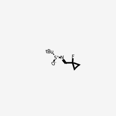 CC(C)(C)[S@@+]([O-])N=CC1(F)CC1